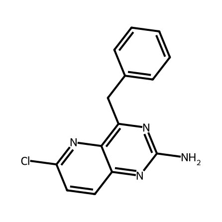 Nc1nc(Cc2ccccc2)c2nc(Cl)ccc2n1